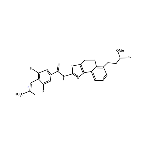 CCC(CCc1cccc2c1CCc1sc(NC(=O)c3cc(F)c(/C=C(\C)C(=O)O)c(F)c3)nc1-2)OC